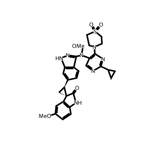 COc1ccc2c(c1)[C@]1(C[C@H]1c1ccc3c(N(OC)c4cnc(C5CC5)nc4N4CCS(=O)(=O)CC4)n[nH]c3c1)C(=O)N2